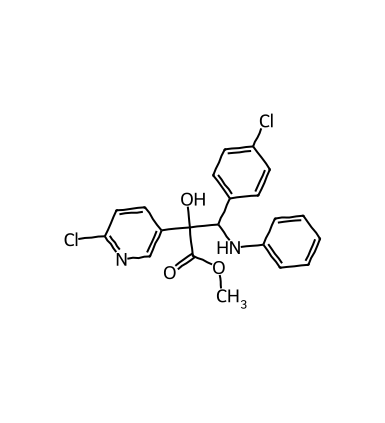 COC(=O)C(O)(c1ccc(Cl)nc1)C(Nc1ccccc1)c1ccc(Cl)cc1